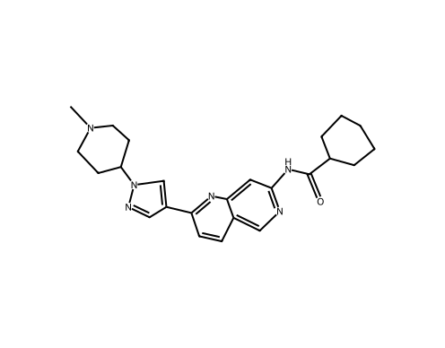 CN1CCC(n2cc(-c3ccc4cnc(NC(=O)C5CCCCC5)cc4n3)cn2)CC1